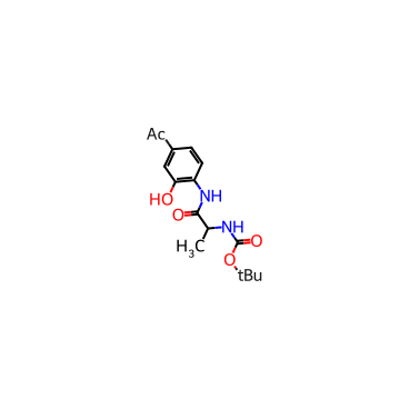 CC(=O)c1ccc(NC(=O)C(C)NC(=O)OC(C)(C)C)c(O)c1